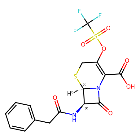 O=C(Cc1ccccc1)N[C@@H]1C(=O)N2C(C(=O)O)=C(OS(=O)(=O)C(F)(F)F)CS[C@H]12